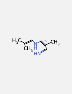 CC(C)=CN/C=C(/C)C=N